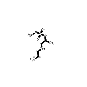 COS(=O)(=O)OC(C)CNCCN